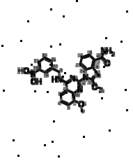 COc1cccc2c(NCc3cccc(B(O)O)c3)nc(-n3c(OC)nc4c(C(N)=O)cccc43)nc12